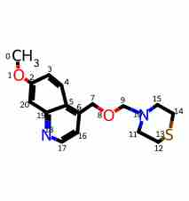 COc1ccc2c(COCN3CCSCC3)ccnc2c1